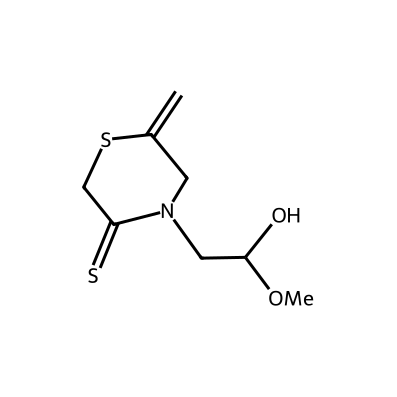 C=C1CN(CC(O)OC)C(=S)CS1